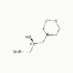 CNC[C@@H](O)CN1CCOCC1